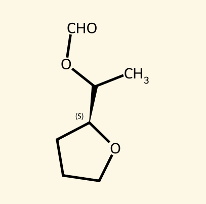 CC(OC=O)[C@@H]1CCCO1